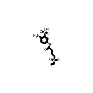 C=CS(=O)(=O)CCCC(=O)Nc1ccc(N)c(S(=O)(=O)O)c1